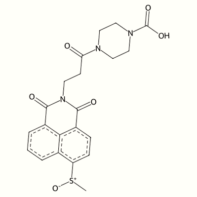 C[S+]([O-])c1ccc2c3c(cccc13)C(=O)N(CCC(=O)N1CCN(C(=O)O)CC1)C2=O